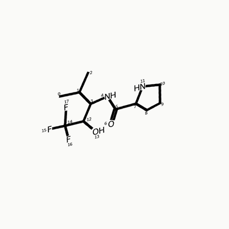 CC(C)C(NC(=O)C1CCCN1)C(O)C(F)(F)F